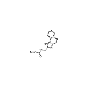 COC(=O)NCc1nc2cnc3cccnc3c2[nH]1